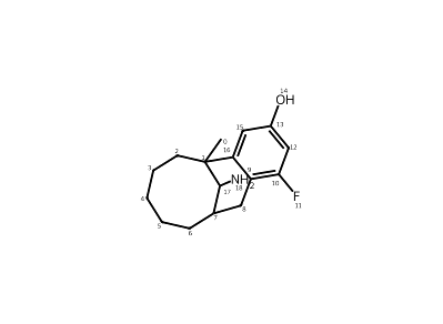 CC12CCCCCC(Cc3c(F)cc(O)cc31)C2N